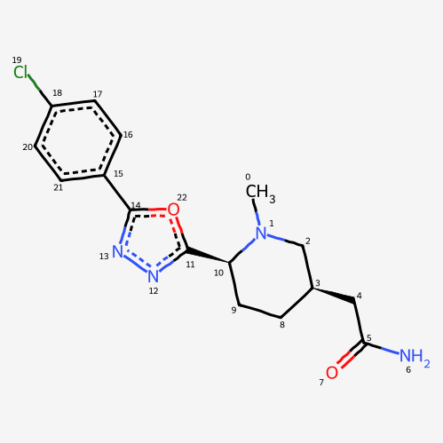 CN1C[C@@H](CC(N)=O)CC[C@H]1c1nnc(-c2ccc(Cl)cc2)o1